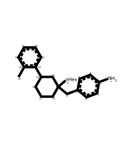 CCCCCCC1(Cc2ccc(N)cc2)CCCC(c2ccccc2C)C1